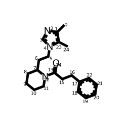 Cc1ncn(CCC2CCCCN2C(=O)CCc2ccccc2)c1C